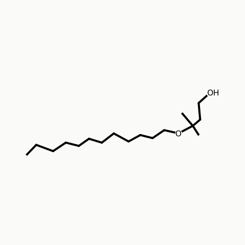 CCCCCCCCCCCCOC(C)(C)CCO